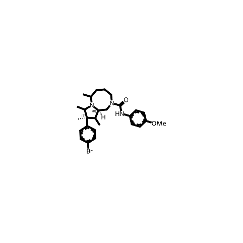 COc1ccc(NC(=O)N2CCCC(C)N3C(C)[C@](C)(c4ccc(Br)cc4)C(C)[C@@H]3C2)cc1